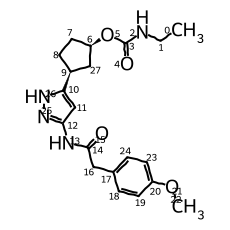 CCNC(=O)O[C@@H]1CC[C@H](c2cc(NC(=O)Cc3ccc(OC)cc3)n[nH]2)C1